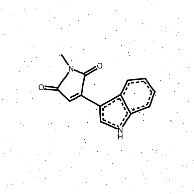 CN1C(=O)C=C(c2c[nH]c3ccccc23)C1=O